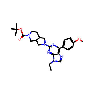 CCn1cnc2c(-c3ccc(OC)cc3)nc(N3CC4CCN(C(=O)OC(C)(C)C)CC4C3)nc21